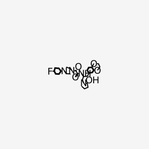 O=C(NC(CN1CCCC1)C(O)c1ccc2c(c1)OCCO2)C(=O)N1CCN(c2ccc(F)cc2)CC1